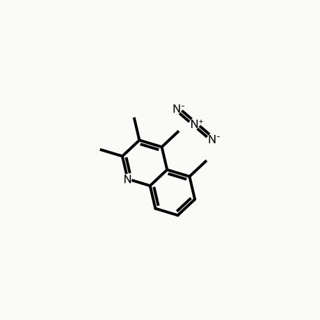 Cc1nc2cccc(C)c2c(C)c1C.[N-]=[N+]=[N-]